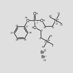 C[N+](C)(C)CCOP(=O)(OCC[N+](C)(C)C)Oc1ccccc1.[Br-].[Br-]